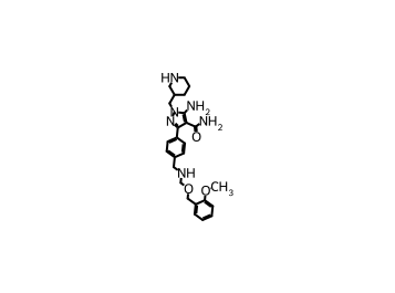 COc1ccccc1COCNCc1ccc(-c2nn(CC3CCCNC3)c(N)c2C(N)=O)cc1